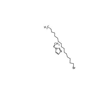 C=Cn1ccnc1.CCCCCCCCCCCCCCCCBr